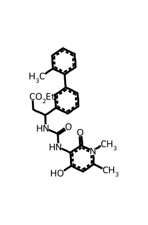 CCOC(=O)CC(NC(=O)Nc1c(O)cc(C)n(C)c1=O)c1cccc(-c2ccccc2C)c1